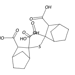 O=C(O)C1C2CCC(C2)C1(SC1(C(=O)O)C2CCC(C2)C1C(=O)O)C(=O)O